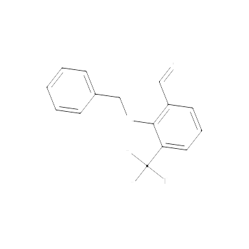 O=Cc1cccc(C(F)(F)F)c1OCc1ccccc1